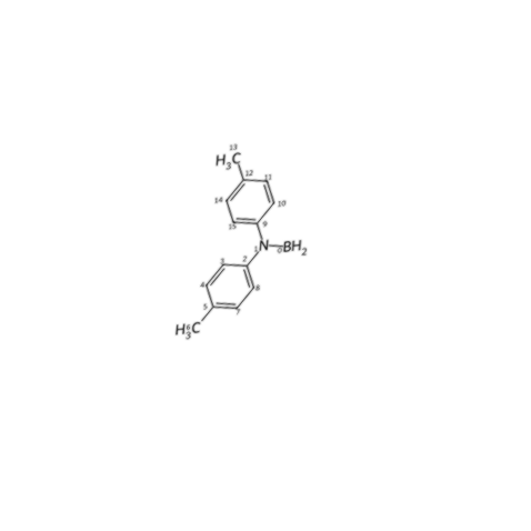 BN(c1ccc(C)cc1)c1ccc(C)cc1